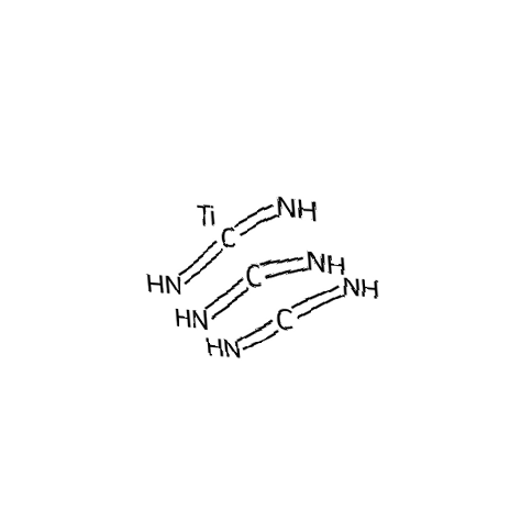 N=C=N.N=C=N.N=C=N.[Ti]